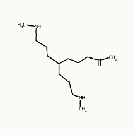 CNCCCC(CCCNC)CCCNC